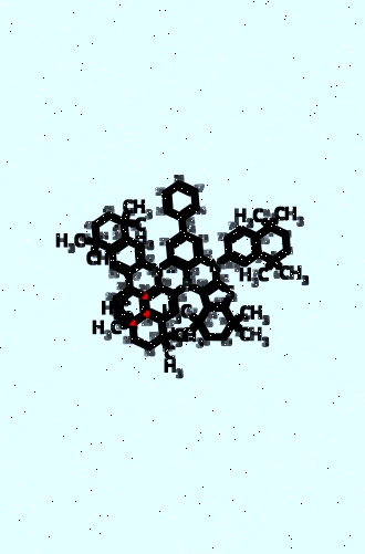 CC1(C)CCC(C)(C)c2cc(N3c4cc(-c5ccccc5)cc5c4B(c4cc6c(cc4N5c4cc5c(cc4-c4ccccc4)C(C)(C)CCC5(C)C)C(C)(C)CCC6(C)C)c4c3sc3c4C(C)(C)CCC3(C)C)ccc21